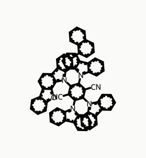 N#Cc1c(-n2c3ccccc3c3ccccc32)c(-n2c3ccccc3c3ccccc32)c(C#N)c(-n2c3cc(-c4cccc5ccccc45)ccc3c3ccc4c5ccccc5oc4c32)c1-n1c2ccccc2c2ccccc21